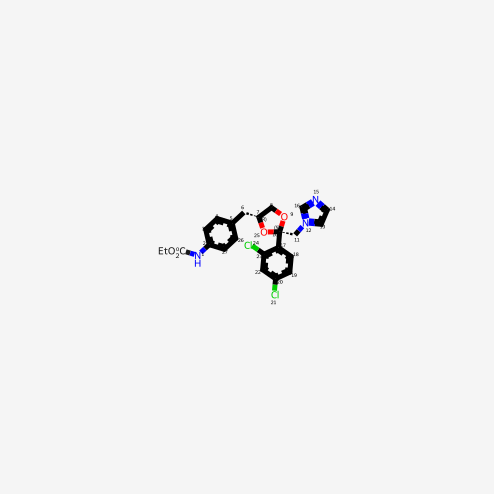 CCOC(=O)Nc1ccc(C[C@@H]2CO[C@@](Cn3ccnc3)(c3ccc(Cl)cc3Cl)O2)cc1